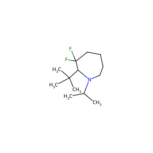 CC(C)N1CCCCC(F)(F)C1C(C)(C)C